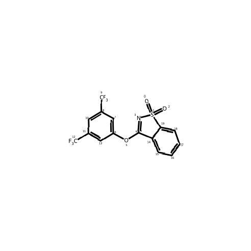 O=S1(=O)N=C(Oc2cc(C(F)(F)F)cc(C(F)(F)F)c2)c2ccccc21